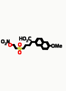 COc1ccc2cc([C@H](CCCS(=O)(=O)CCO[N+](=O)[O-])C(=O)O)ccc2c1